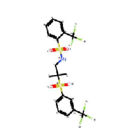 CC(C)(CNS(=O)(=O)c1ccccc1C(F)(F)F)S(=O)(=O)c1cccc(C(F)(F)F)c1